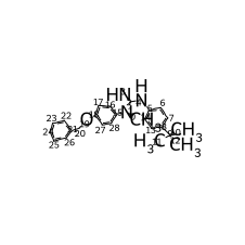 CN(C(=N)Nc1ccc(C(C)(C)C)cc1)c1ccc(OCc2ccccc2)cc1